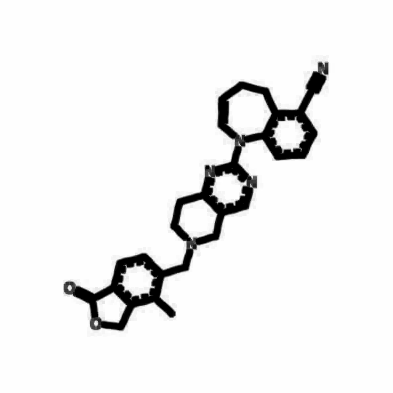 Cc1c(CN2CCc3nc(N4C=CCCc5c(C#N)cccc54)ncc3C2)ccc2c1COC2=O